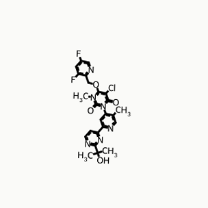 Cc1cnc(-c2ccnc(C(C)(C)O)n2)cc1-n1c(=O)c(Cl)c(OCc2ncc(F)cc2F)n(C)c1=O